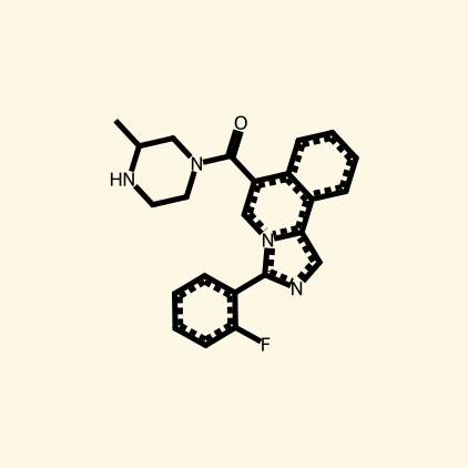 CC1CN(C(=O)c2cn3c(-c4ccccc4F)ncc3c3ccccc23)CCN1